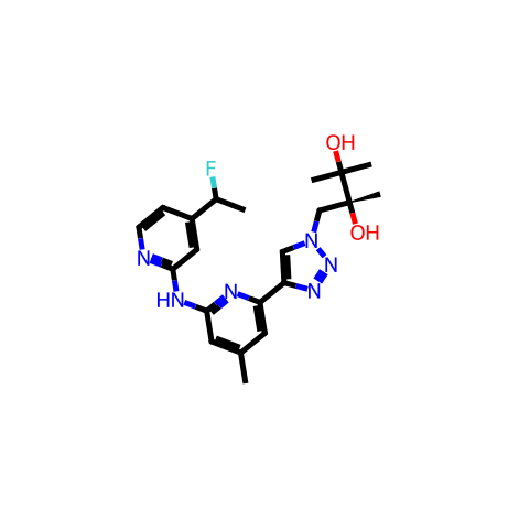 Cc1cc(Nc2cc(C(C)F)ccn2)nc(-c2cn(C[C@@](C)(O)C(C)(C)O)nn2)c1